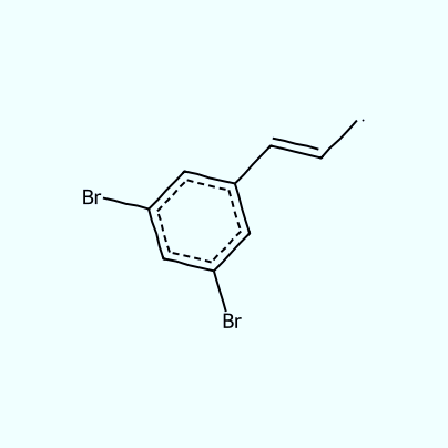 [CH2]C=Cc1cc(Br)cc(Br)c1